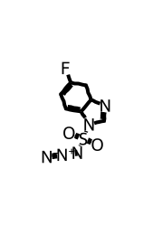 [N-]=[N+]=NS(=O)(=O)N1C=NC2CC(F)=CC=C21